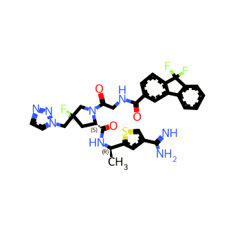 C[C@@H](NC(=O)[C@@H]1C[C@](F)(Cn2ccnn2)CN1C(=O)CNC(=O)c1ccc2c(c1)-c1ccccc1C2(F)F)c1cc(C(=N)N)cs1